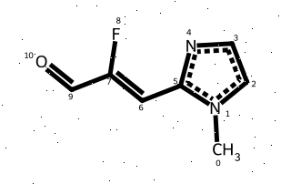 Cn1ccnc1C=C(F)C=O